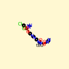 CN1CCN(CC(=O)OC(Cn2ncn(-c3ccc(N4CCN(c5ccc(OC[C@@H]6CO[C@@](Cn7cncn7)(c7ccc(Cl)cc7Cl)O6)cc5)CC4)cc3)c2=O)C(C)(C)C)CC1